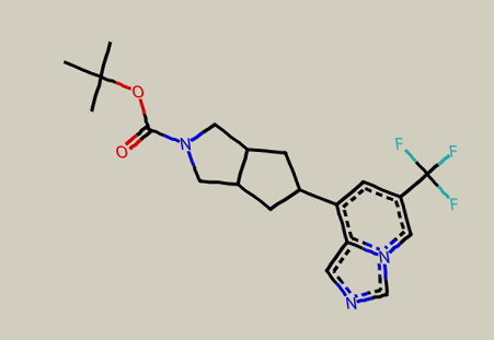 CC(C)(C)OC(=O)N1CC2CC(c3cc(C(F)(F)F)cn4cncc34)CC2C1